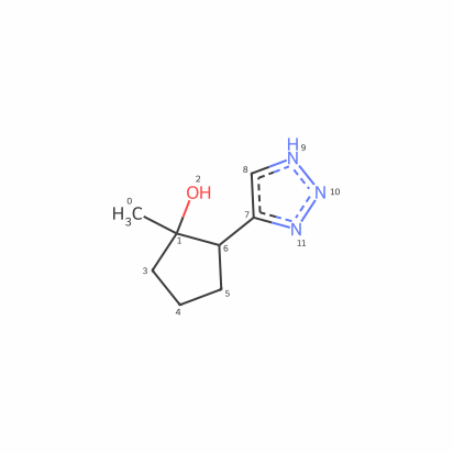 CC1(O)CCCC1c1c[nH]nn1